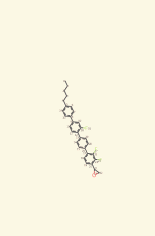 CCCCCc1ccc(-c2ccc(-c3ccc(-c4ccc(C5CO5)c(F)c4F)cc3)c(F)c2)cc1